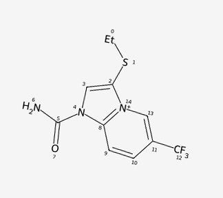 CCSc1cn(C(N)=O)c2ccc(C(F)(F)F)c[n+]12